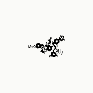 COc1ccc(CN(c2nn(CC(F)F)c3c(-n4c([C@H](Cc5cc(F)cc(F)c5)NC(=O)O)nc5cc(C(C)(C)S(C)(=O)=O)ccc5c4=O)ccc(Cl)c23)S(=O)(=O)C2CC2)cc1